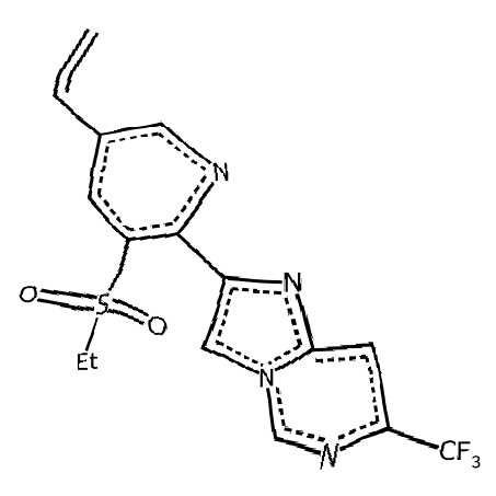 C=Cc1cnc(-c2cn3cnc(C(F)(F)F)cc3n2)c(S(=O)(=O)CC)c1